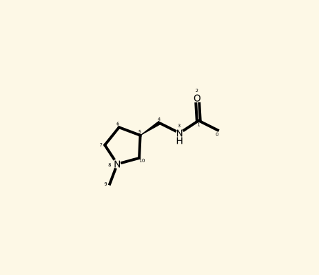 CC(=O)NC[C@@H]1CCN(C)C1